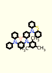 Cc1cc(C)c(N2c3cc(N4c5ccccc5Sc5ccccc54)ccc3B3c4ccccc4N(c4ccccc4)c4cccc2c43)c(C)c1